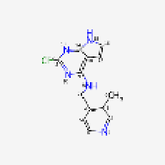 Cc1cnccc1CNc1nc(Cl)nc2[nH]ccc12